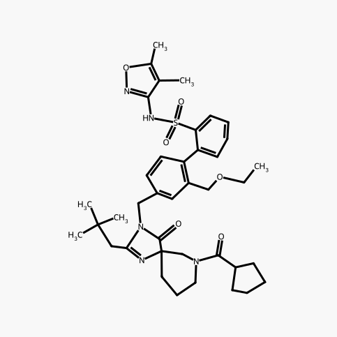 CCOCc1cc(CN2C(=O)C3(CCCN(C(=O)C4CCCC4)C3)N=C2CC(C)(C)C)ccc1-c1ccccc1S(=O)(=O)Nc1noc(C)c1C